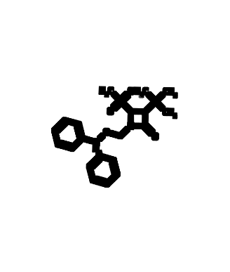 CC(C)(C)C1C(=O)N(CO[SiH](c2ccccc2)c2ccccc2)C1S(C)(=O)=O